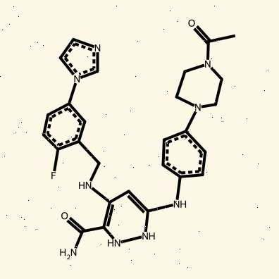 CC(=O)N1CCN(c2ccc(NC3=CC(NCc4cc(-n5ccnc5)ccc4F)=C(C(N)=O)NN3)cc2)CC1